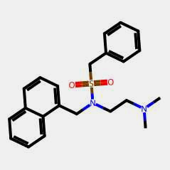 CN(C)CCN(Cc1cccc2ccccc12)S(=O)(=O)Cc1ccccc1